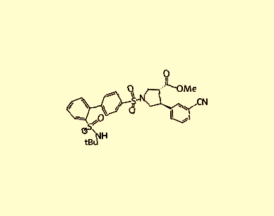 COC(=O)[C@H]1CN(S(=O)(=O)c2ccc(-c3ccccc3S(=O)(=O)NC(C)(C)C)cc2)C[C@@H]1c1cccc(C#N)c1